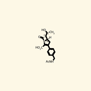 CC(=O)NCc1ccc(C2=C(C(=O)O)N3C(=O)[C@H]([C@@H](C)O)[C@H]3C2)cc1